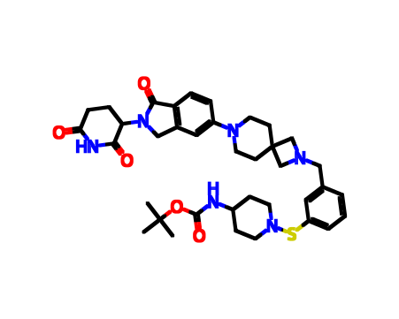 CC(C)(C)OC(=O)NC1CCN(Sc2cccc(CN3CC4(CCN(c5ccc6c(c5)CN(C5CCC(=O)NC5=O)C6=O)CC4)C3)c2)CC1